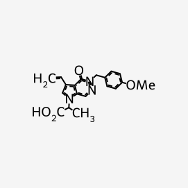 C=Cc1cn(C(C)C(=O)O)c2cnn(Cc3ccc(OC)cc3)c(=O)c12